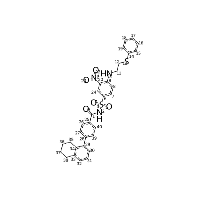 O=C(NS(=O)(=O)c1ccc(NCCSc2ccccc2)c([N+](=O)[O-])c1)c1ccc(-c2cccc3c2CCCC3)cc1